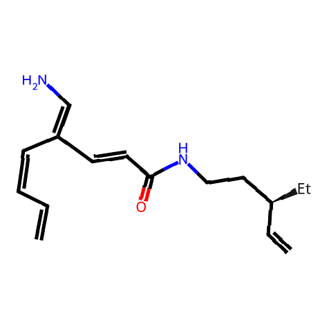 C=C\C=C/C(/C=C/C(=O)NCC[C@H](C=C)CC)=C\N